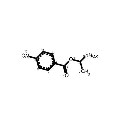 CCCCCCC(C)OC(=O)c1ccc(N=O)cc1